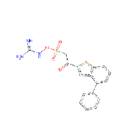 N=C(N)NOS(=O)(=O)CC(=O)c1cc2c(-c3ccccc3)cccc2s1